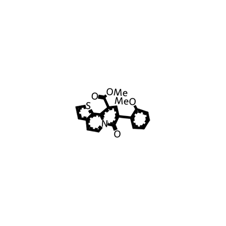 COC(=O)c1cc(-c2ccccc2OC)c(=O)n2ccc3ccsc3c12